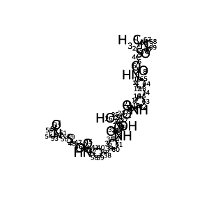 CC(CSCCOC(=O)Nc1ccc(Cc2ccc(NC(=O)OCC(CO)(CO)COC(=O)Nc3ccc(Cc4ccc(NC(=O)OCCSCCN5CCCC5=O)cc4)cc3)cc2)cc1)N1CCCC1=O